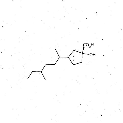 C/C=C(\C)CCC(C)C1CC[C@](O)(C(=O)O)C1